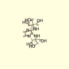 OCC(CO)(CO)Nc1nccnc1NC(CO)(CO)CO